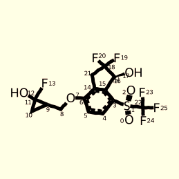 O=S(=O)(c1ccc(OCC2CC2(O)F)c2c1[C@H](O)C(F)(F)C2)C(F)(F)F